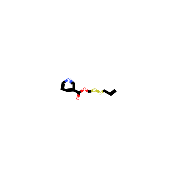 C=CCSSCOC(=O)c1cccnc1